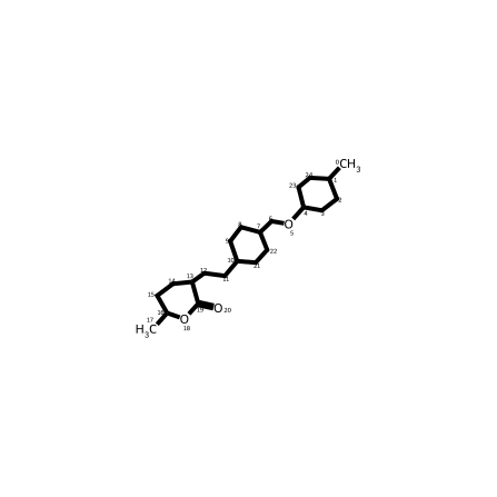 CC1CCC(OCC2CCC(CCC3CCC(C)OC3=O)CC2)CC1